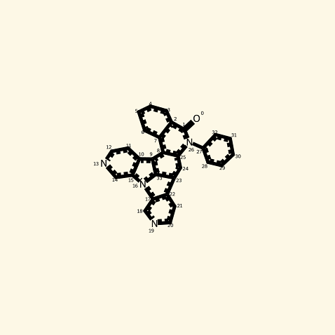 O=c1c2ccccc2c2c3c4ccncc4n4c5cnccc5c(cc2n1-c1ccccc1)c34